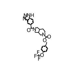 O=C(OCc1ccc(OC(F)(F)F)cc1)N1CCC2CN(C(=O)c3ccc4[nH]nnc4c3)CC2C1